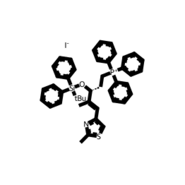 CC(=Cc1csc(C)n1)[C@@H](CC[P+](c1ccccc1)(c1ccccc1)c1ccccc1)O[Si](c1ccccc1)(c1ccccc1)C(C)(C)C.[I-]